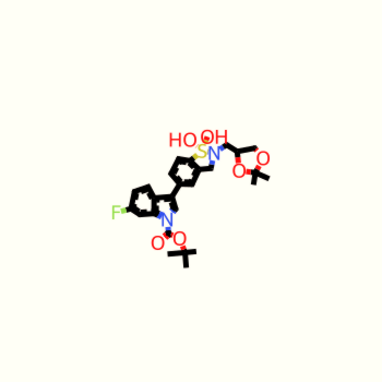 CC(C)(C)OC(=O)n1cc(-c2ccc3c(c2)CN(CC2COC(C)(C)O2)S3(O)O)c2ccc(F)cc21